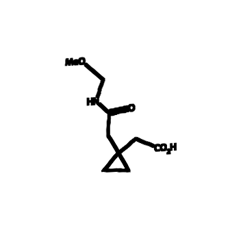 COCNC(=O)CC1(CC(=O)O)CC1